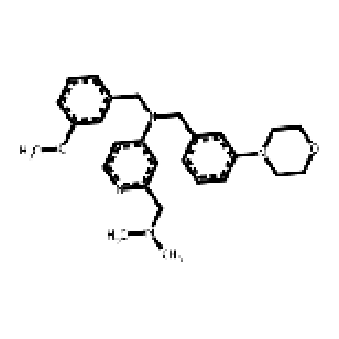 COc1cccc(CN(Cc2cccc(N3CCOCC3)c2)c2ccnc(CN(C)C)c2)c1